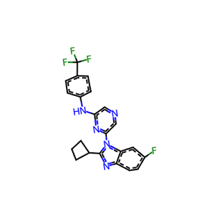 Fc1ccc2nc(C3CCC3)n(-c3cncc(Nc4ccc(C(F)(F)F)cc4)n3)c2c1